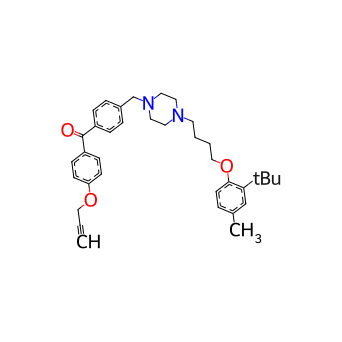 C#CCOc1ccc(C(=O)c2ccc(CN3CCN(CCCCOc4ccc(C)cc4C(C)(C)C)CC3)cc2)cc1